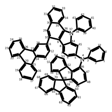 c1ccc(N(c2ccc3c4c(-c5ccc6c7ccccc7c7ccccc7c6c5)cc5ccccc5c4n(-c4ccccc4)c3c2)c2cccc3c2-c2ccccc2C32c3ccccc3-c3ccccc32)cc1